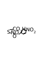 O=C(O)[C@@H]1CSCN1C(=O)OCc1ccc([N+](=O)[O-])cc1